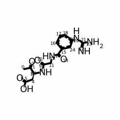 CC(=O)[C@H](CC(=O)O)NC(=O)CNC(=O)c1cccc(NC(=N)N)c1